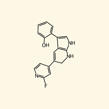 Oc1ccccc1-c1c[nH]c2c1C=C(c1ccnc(F)c1)CN2